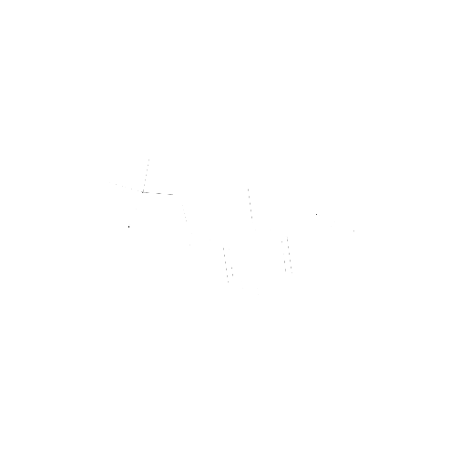 Cc1c(C=O)cccc1B1OC(C)(C)C(C)(C)O1